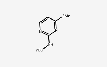 CCCCNc1nccc(SC)n1